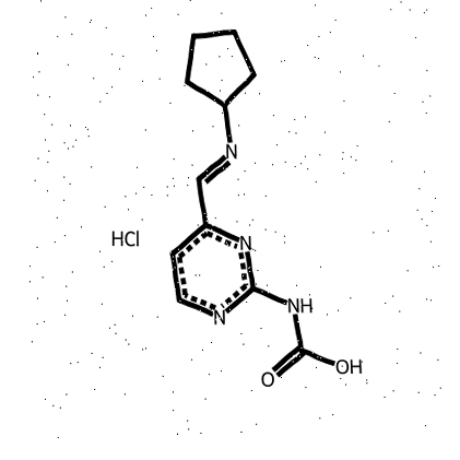 Cl.O=C(O)Nc1nccc(C=NC2CCCC2)n1